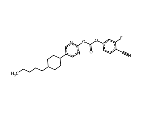 CCCCCC1CCC(c2cnc(OC(=O)Oc3ccc(C#N)c(F)c3)nc2)CC1